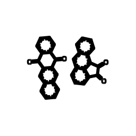 O=C1C(=O)c2c3ccccc3cc3cccc1c23.O=C1c2ccccc2C(=O)c2cc3ccccc3cc21